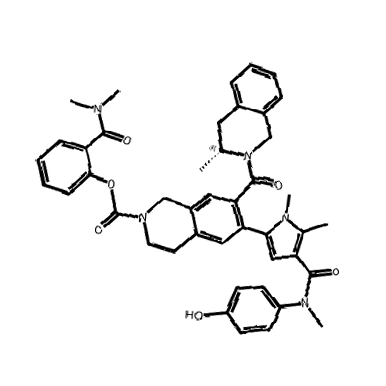 Cc1c(C(=O)N(C)c2ccc(O)cc2)cc(-c2cc3c(cc2C(=O)N2Cc4ccccc4C[C@H]2C)CN(C(=O)Oc2ccccc2C(=O)N(C)C)CC3)n1C